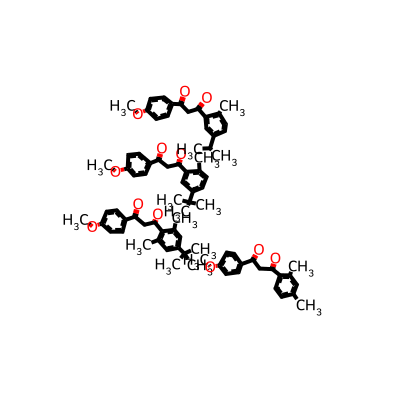 COc1ccc(C(=O)CC(=O)c2c(C)cc(C(C)(C)C)cc2C)cc1.COc1ccc(C(=O)CC(=O)c2cc(C(C)(C)C)ccc2C)cc1.COc1ccc(C(=O)CC(=O)c2cc(C(C)C)ccc2C)cc1.COc1ccc(C(=O)CC(=O)c2ccc(C)cc2C)cc1